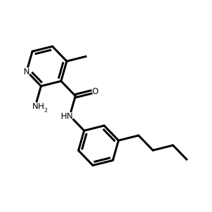 CCCCc1cccc(NC(=O)c2c(C)ccnc2N)c1